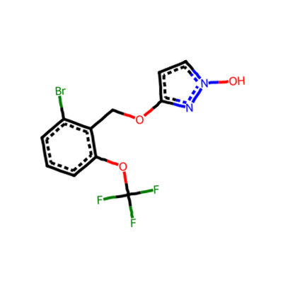 On1ccc(OCc2c(Br)cccc2OC(F)(F)F)n1